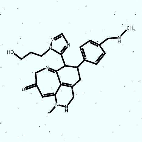 CNCc1ccc(C2CC3=C4C(=CC(=O)CN=C4C2c2ncnn2CCCO)N(F)NC3)cc1